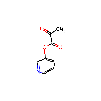 CC(=O)C(=O)Oc1cccnc1